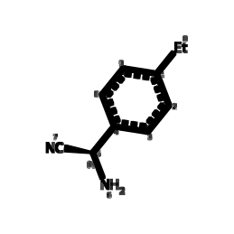 CCc1ccc([C@@H](N)C#N)cc1